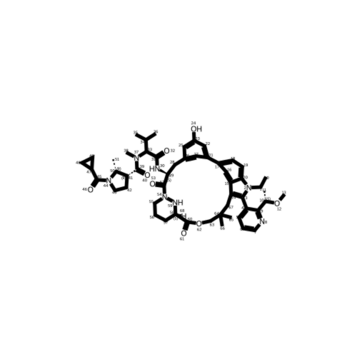 CCn1c(-c2cccnc2[C@H](C)OC)c2c3cc(ccc31)-c1cc(O)cc(c1)C[C@H](NC(=O)C(C(C)C)N(C)C(=O)[C@@H]1CCN(C(=O)C3CC3)[C@@H]1C)C(=O)N1CCC[C@H](N1)C(=O)OCC(C)(C)C2